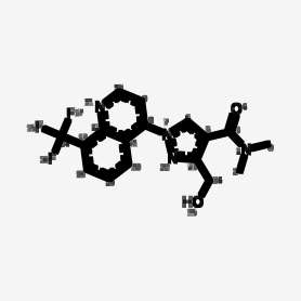 CN(C)C(=O)c1cn(-c2ccnc3c(C(F)(F)F)cccc23)nc1CO